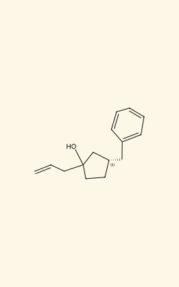 C=CCC1(O)CC[C@@H](Cc2ccccc2)C1